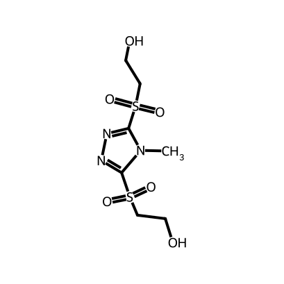 Cn1c(S(=O)(=O)CCO)nnc1S(=O)(=O)CCO